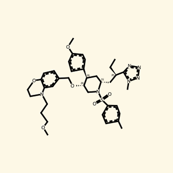 CC[C@H](C[C@H]1C[C@H](c2ccc(OC)cc2)[C@@H](OCc2ccc3c(c2)N(CCCOC)CCO3)CN1S(=O)(=O)c1ccc(C)cc1)c1nnnn1C